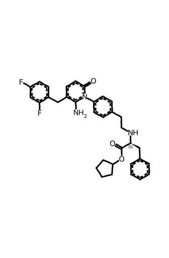 Nc1c(Cc2ccc(F)cc2F)ccc(=O)n1-c1ccc(CCN[C@@H](Cc2ccccc2)C(=O)OC2CCCC2)cc1